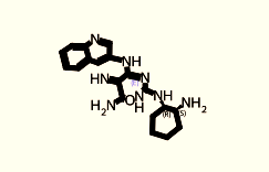 N=C(/N=C(/Nc1cnc2ccccc2c1)C(=N)C(N)=O)N[C@@H]1CCCC[C@@H]1N